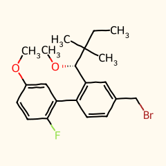 CCC(C)(C)[C@@H](OC)c1cc(CBr)ccc1-c1cc(OC)ccc1F